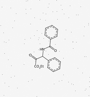 CCOC(=O)C(=O)C(NC(=O)c1ccccc1)c1ccccc1